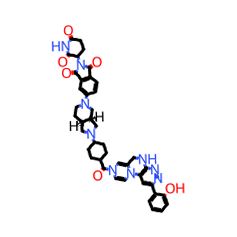 O=C1CCC(N2C(=O)c3ccc(N4CC[C@@H]5CN(C6CCC(C(=O)N7C=CN8C(=C7)CNc7nnc(-c9ccccc9O)cc78)CC6)C[C@H]5C4)cc3C2=O)C(=O)N1